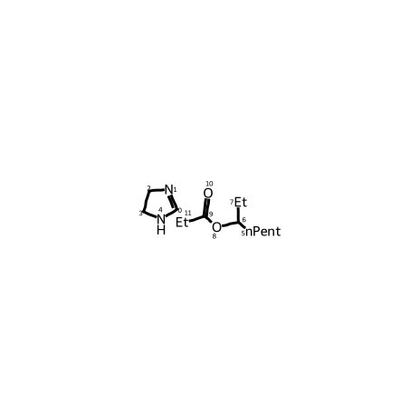 C1=NCCN1.CCCCCC(CC)OC(=O)CC